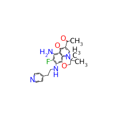 CC(=O)c1cn2c3c(c(NCCc4ccncc4)c(F)c(N)c3c1=O)OCC2(C)C